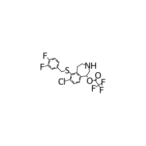 O=C(OC1CNCCc2c1ccc(Cl)c2SCc1ccc(F)c(F)c1)C(F)(F)F